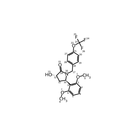 COc1cccc(OC)c1[C@H]1C[C@H](O)C(=O)N1Cc1ccc(OC(F)(F)F)cc1